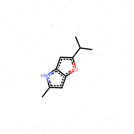 Cc1cc2oc(C(C)C)cc2[nH]1